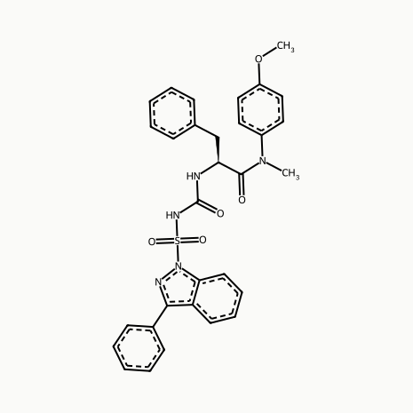 COc1ccc(N(C)C(=O)[C@H](Cc2ccccc2)NC(=O)NS(=O)(=O)n2nc(-c3ccccc3)c3ccccc32)cc1